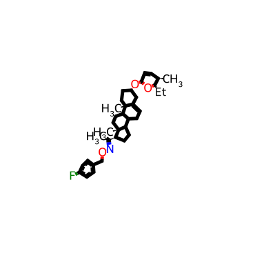 CC[C@H]1OC(O[C@H]2CC[C@@]3(C)C(=CCC4C3CC[C@@]3(C)C4CC[C@@H]3/C(C)=N/OCc3ccc(F)cc3)C2)C=C[C@@H]1C